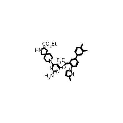 CCOC(=O)[C@@H]1CC2(CCN(c3cc(O[C@H](c4cc(-c5ccc(C)c(C)c5)ccc4-n4ccc(C)n4)C(F)(F)F)nc(N)n3)CC2)CN1